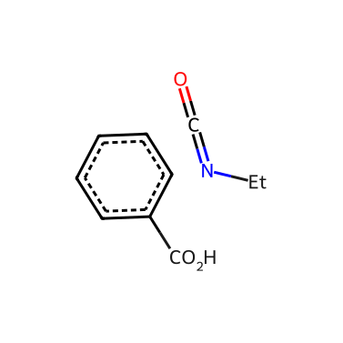 CCN=C=O.O=C(O)c1ccccc1